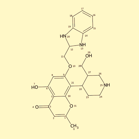 Cc1cc(=O)c2c(O)cc(OCC3Nc4ccccc4N3)c(C3CCNCC3CO)c2o1